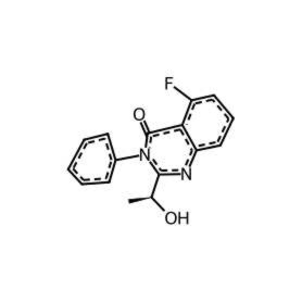 C[C@H](O)c1nc2cccc(F)c2c(=O)n1-c1ccccc1